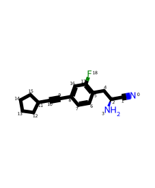 N#C[C@@H](N)Cc1ccc(C#CC2CCCC2)cc1F